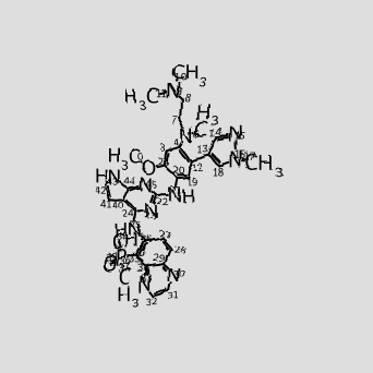 COc1cc(N(C)CCN(C)C)c(-c2cnn(C)c2)cc1Nc1nc(Nc2ccc3nccnc3c2P(C)(C)=O)c2cc[nH]c2n1